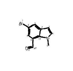 Cn1ccc2cc(Br)cc(C=O)c21